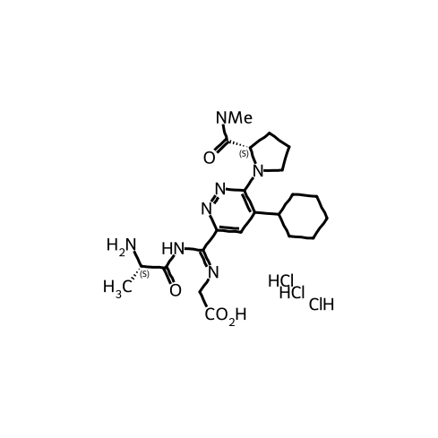 CNC(=O)[C@@H]1CCCN1c1nnc(C(=NCC(=O)O)NC(=O)[C@H](C)N)cc1C1CCCCC1.Cl.Cl.Cl